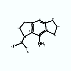 Nc1c2c(cc3c1C(C(F)F)CC3)CCC2